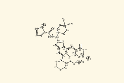 CCn1nccc1C(=O)N[C@H](c1cn2nc(C[C@H]3C[C@@H](C(F)(F)F)CNC3=O)c(C3CCCCN3CCOC)nc2n1)C1CCC(F)(F)CC1